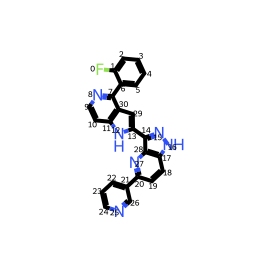 Fc1ccccc1-c1nccc2[nH]c(-c3n[nH]c4ccc(-c5cccnc5)nc34)cc12